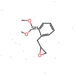 CO[SiH](OC)c1ccccc1CC1CO1